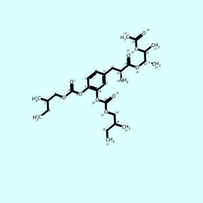 CCC(C)COC(=O)Oc1ccc(C[C@H](N)C(=O)O[C@@H](C)C(C)OC(C)=O)cc1OC(=O)OCC(C)CC